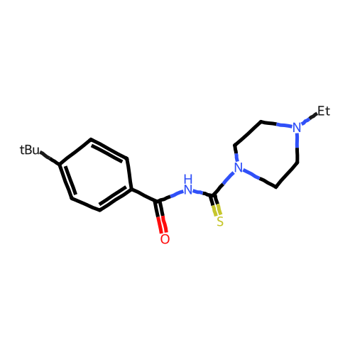 CCN1CCN(C(=S)NC(=O)c2ccc(C(C)(C)C)cc2)CC1